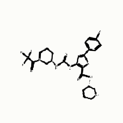 O=C(Nc1cc(-c2ccc(Cl)cc2)sc1C(=O)N[C@H]1CCCNC1)N[C@@H]1CCCN(C(=O)C(F)(F)F)C1